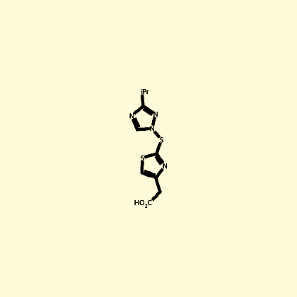 CC(C)c1ncn(Sc2nc(CC(=O)O)cs2)n1